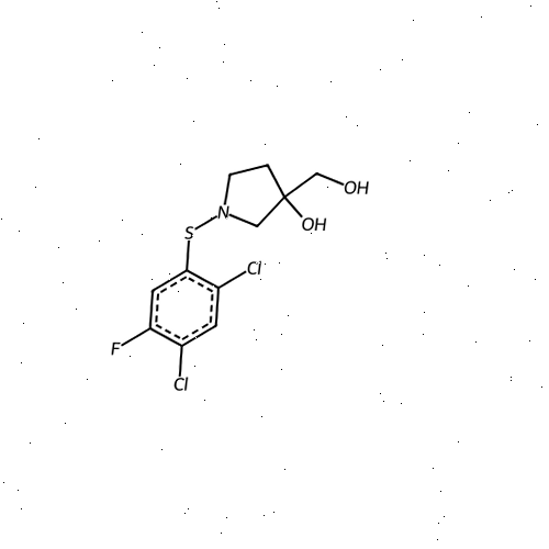 OCC1(O)CCN(Sc2cc(F)c(Cl)cc2Cl)C1